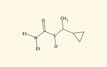 CCN(CC)C(=O)[S+]([O-])C(C)C1CC1